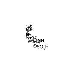 O=C(O)C(=O)c1c[nH]c2ccc(C(=O)N3CCN(Cc4ccc(F)cc4)CC3)cc12